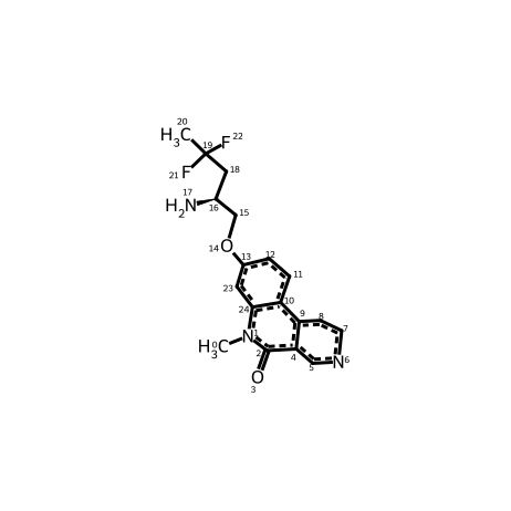 Cn1c(=O)c2cnccc2c2ccc(OC[C@@H](N)CC(C)(F)F)cc21